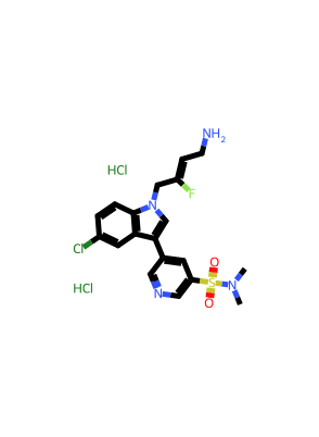 CN(C)S(=O)(=O)c1cncc(-c2cn(CC(F)=CCN)c3ccc(Cl)cc23)c1.Cl.Cl